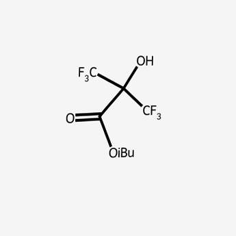 CC(C)COC(=O)C(O)(C(F)(F)F)C(F)(F)F